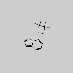 CC1(C)OB(c2cccc3ccnn23)OC1(C)C